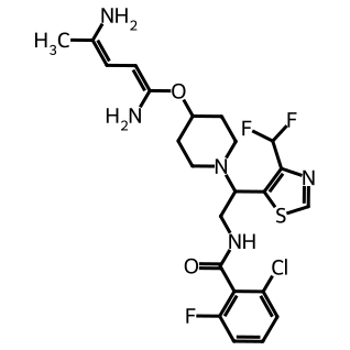 C/C(N)=C/C=C(\N)OC1CCN(C(CNC(=O)c2c(F)cccc2Cl)c2scnc2C(F)F)CC1